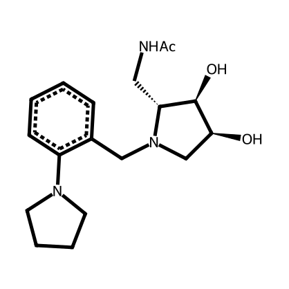 CC(=O)NC[C@@H]1[C@@H](O)[C@@H](O)CN1Cc1ccccc1N1CCCC1